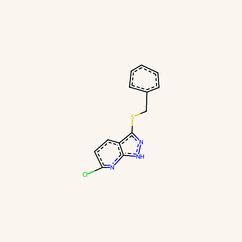 Clc1ccc2c(SCc3ccccc3)n[nH]c2n1